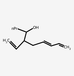 C=C/C=C/CC(C=C)C(O)CCC